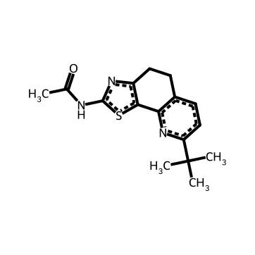 CC(=O)Nc1nc2c(s1)-c1nc(C(C)(C)C)ccc1CC2